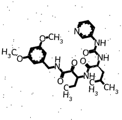 CCC(NC(=O)[C@H](CC(C)C)NC(=O)Nc1cccnc1)C(=O)C(=O)NCc1cc(OC)cc(OC)c1